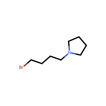 BrCCCCN1CCCC1